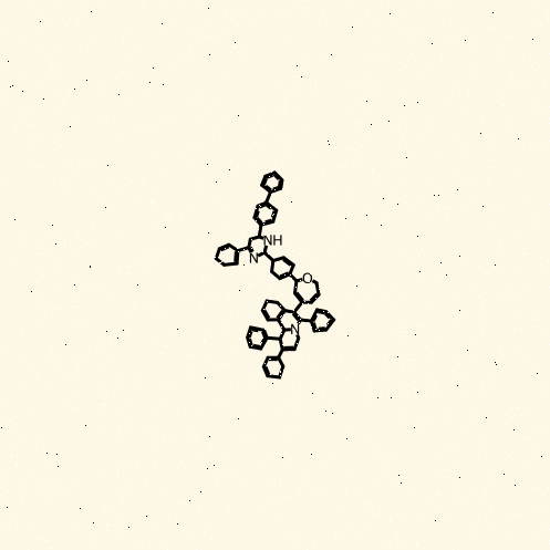 C1=CCCC(C2=CCN3C(c4ccccc4)=C(C4=CC(C5=CCC(C6N=C(C7=CCCC=C7)CC(c7ccc(-c8ccccc8)cc7)N6)C=C5)OCC=C4)C4=C(C=CCC4)C3C2c2ccccc2)=C1